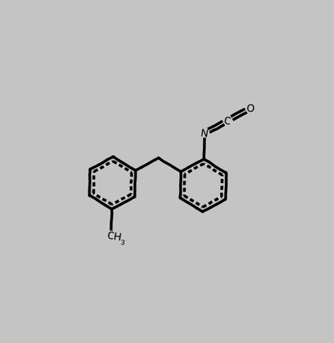 Cc1cccc(Cc2ccccc2N=C=O)c1